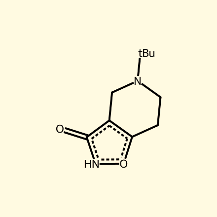 CC(C)(C)N1CCc2o[nH]c(=O)c2C1